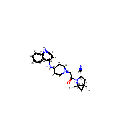 N#C[C@@H]1C[C@@H]2C[C@@H]2N1C(=O)CN1CCC(Nc2ccnc3ccccc23)CC1